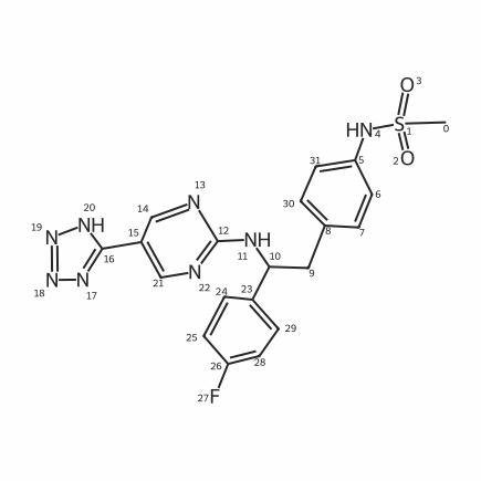 CS(=O)(=O)Nc1ccc(CC(Nc2ncc(-c3nnn[nH]3)cn2)c2ccc(F)cc2)cc1